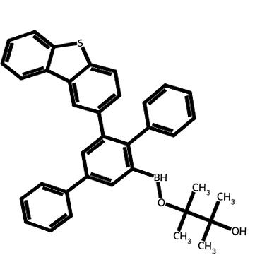 CC(C)(O)C(C)(C)OBc1cc(-c2ccccc2)cc(-c2ccc3sc4ccccc4c3c2)c1-c1ccccc1